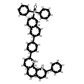 O=P(c1ccccc1)(c1ccccc1)c1ccc2cc(-c3ccc(-c4ccc5ccc6ccc(-c7ccccc7)nc6c5n4)cc3)ccc2c1